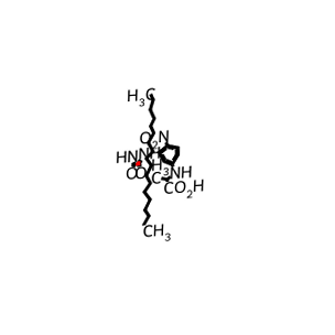 CC(Nc1ccc([N+](=O)[O-])cc1)C(=O)O.CCCCCCCCCCCCCCCCCC.N=C=O.N=C=O